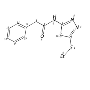 CCSc1nnc(NC(=O)Cc2ccccc2)s1